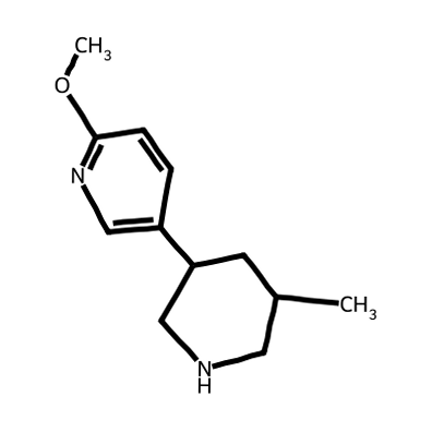 COc1ccc(C2CNCC(C)C2)cn1